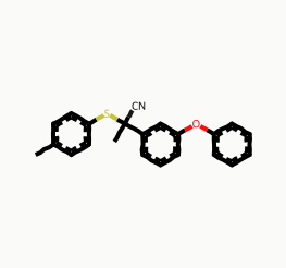 Cc1ccc(SC(C)(C#N)c2cccc(Oc3ccccc3)c2)cc1